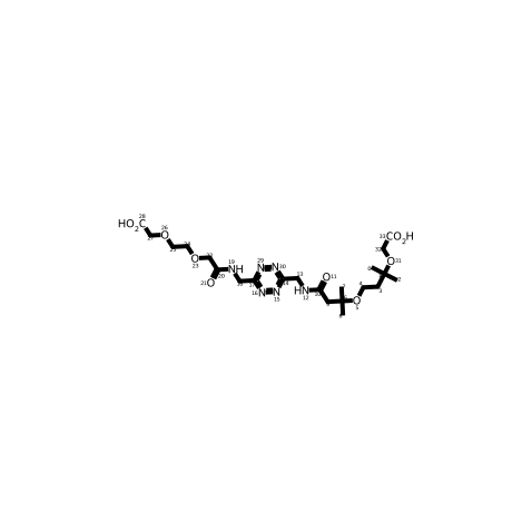 CC(C)(CCOC(C)(C)CC(=O)NCc1nnc(CNC(=O)COCCOCC(=O)O)nn1)OCC(=O)O